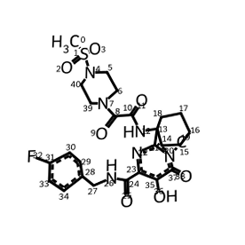 CS(=O)(=O)N1CCN(C(=O)C(=O)NC23CCC(CC2)Cn2c3nc(C(=O)NCc3ccc(F)cc3)c(O)c2=O)CC1